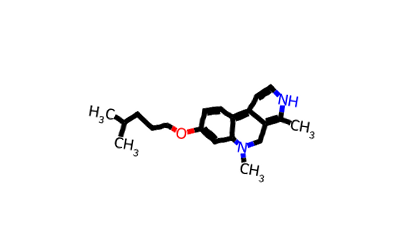 CC1=C2CN(C)C3C=C(OCCCC(C)C)C=CC3=C2C=CN1